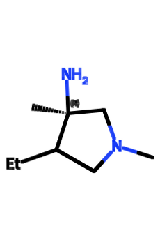 CCC1CN(C)C[C@]1(C)N